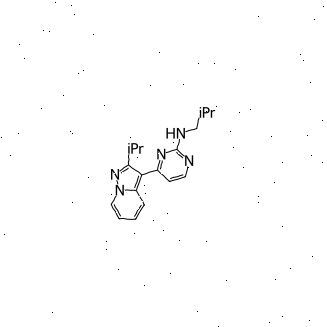 CC(C)CNc1nccc(-c2c(C(C)C)nn3ccccc23)n1